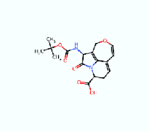 CC(C)(C)OC(=O)N[C@@H]1C(=O)N2C3=C1COC=CC3=CC[C@H]2C(=O)O